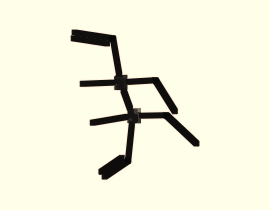 C=C[Si](C)(CC)[Si](C)(C=C)CC